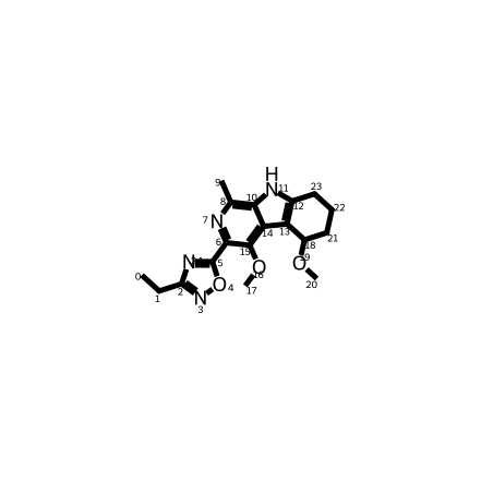 CCc1noc(-c2nc(C)c3[nH]c4c(c3c2OC)C(OC)CCC4)n1